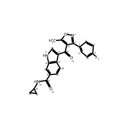 Cc1onc(-c2ccc(F)cc2)c1C(=O)c1c[nH]c2cc(C(=O)NC3CC3)ccc12